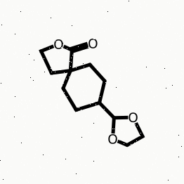 O=C1OCCC12CCC(C1OCCO1)CC2